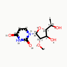 CO[C@H]1C(O)[C@@H]([C@@H](C)O)O[C@H]1n1ccc(=O)[nH]c1=O